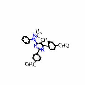 C=NN(c1ccccc1)c1nc(-c2ccc(C=O)cc2)nc(-c2ccc(C=O)cc2)c1C